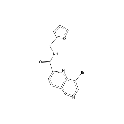 O=C(NCc1ccco1)c1ccc2cncc(Br)c2n1